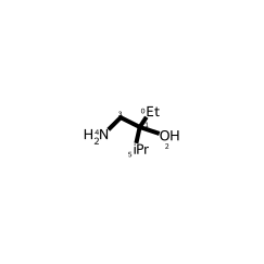 CCC(O)(CN)C(C)C